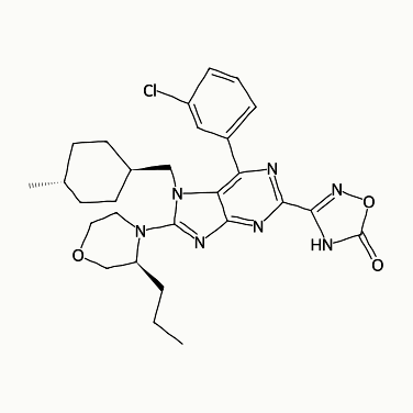 CCC[C@H]1COCCN1c1nc2nc(-c3noc(=O)[nH]3)nc(-c3cccc(Cl)c3)c2n1C[C@H]1CC[C@H](C)CC1